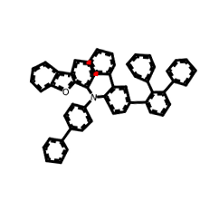 c1ccc(-c2ccc(N(c3ccc(-c4cccc(-c5ccccc5)c4-c4ccccc4)cc3-c3ccccc3)c3cccc4c3oc3ccccc34)cc2)cc1